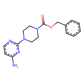 Nc1ccnc(N2CCN(C(=O)OCc3ccccc3)CC2)n1